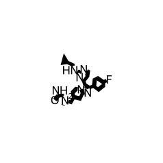 CN(CC(N)=O)Cc1ccn2c(-c3ccnc(NCC4CC4)n3)c(-c3ccc(F)cc3)nc2c1